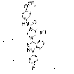 C[C@@H]1CN(c2nnc(-c3ccc(F)cc3)c3ccccc23)CCN1C(=O)Nc1ccc(OC(F)(F)F)cc1.Cl